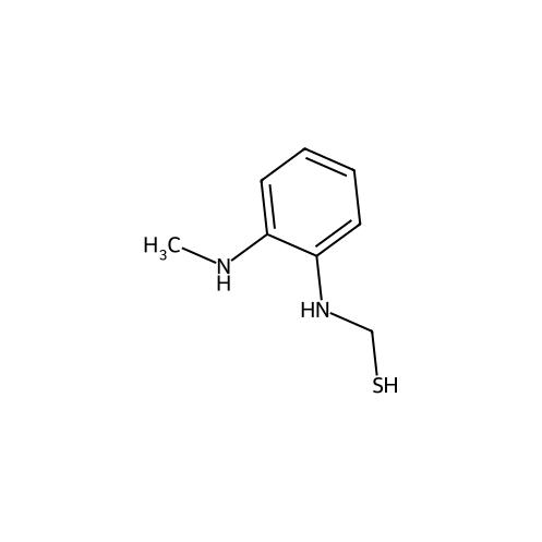 CNc1ccccc1NCS